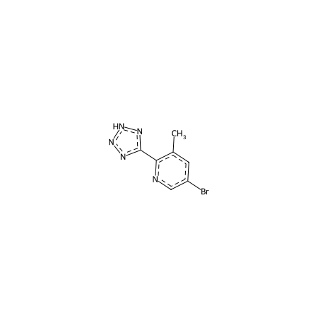 Cc1cc(Br)cnc1-c1nn[nH]n1